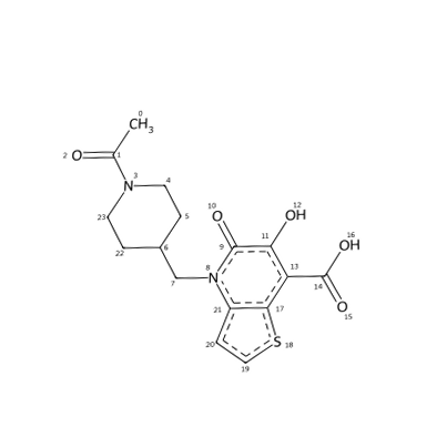 CC(=O)N1CCC(Cn2c(=O)c(O)c(C(=O)O)c3sccc32)CC1